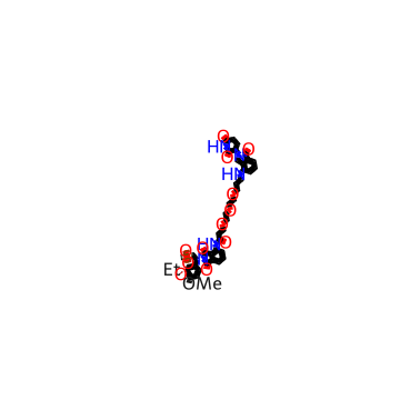 CCOc1cc(C(CS(C)(=O)=O)N2C(=O)c3cccc(NC(=O)CCOCCOCCOCCCNc4cccc5c4CN(C4CCC(=O)NC4=O)C5=O)c3C2=O)ccc1OC